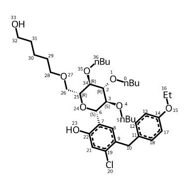 CCCCO[C@@H]1[C@@H](OCCCC)[C@H](c2cc(Cc3ccc(OCC)cc3)c(Cl)cc2O)O[C@H](COCCCCCO)[C@H]1OCCCC